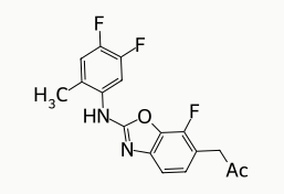 CC(=O)Cc1ccc2nc(Nc3cc(F)c(F)cc3C)oc2c1F